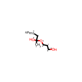 CCCCCCC(C)(O)OCCCO